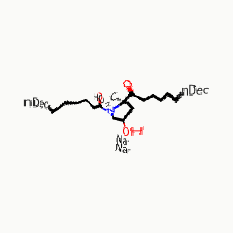 CCCCCCCCCCCCCCCC(=O)N1C[C@H](O)C[C@]1(C(=O)O)C(=O)CCCCCCCCCCCCCCC.[Na].[Na]